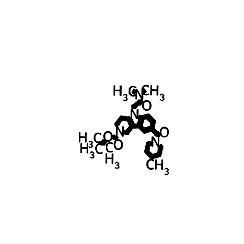 CC1CCN(C(=O)c2ccc3c(c2)c2c(n3CC(=O)N(C)C)CCN(C(=O)OC(C)(C)C)C2)CC1